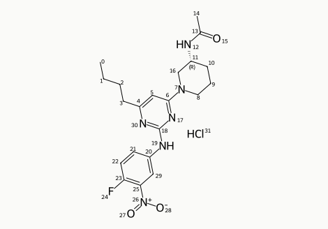 CCCCc1cc(N2CCC[C@@H](NC(C)=O)C2)nc(Nc2ccc(F)c([N+](=O)[O-])c2)n1.Cl